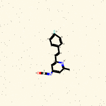 Cc1cc(N=C=O)cc(C=Cc2ccc(F)cc2)n1